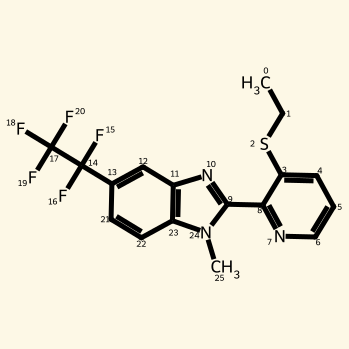 CCSc1cccnc1-c1nc2cc(C(F)(F)C(F)(F)F)ccc2n1C